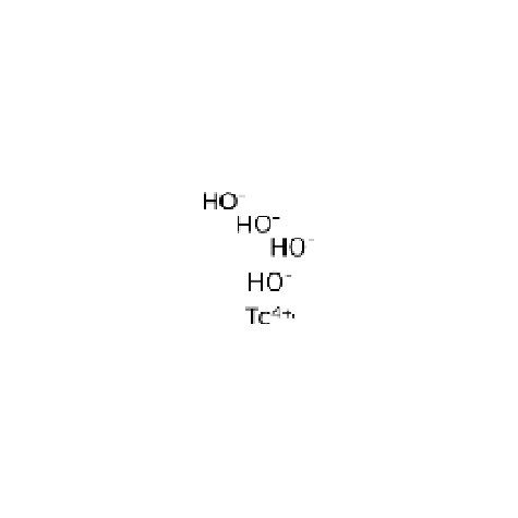 [OH-].[OH-].[OH-].[OH-].[Tc+4]